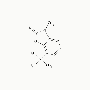 Cn1c(=O)oc2c(C(C)(C)C)cccc21